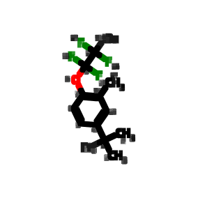 CCC(C)(C)c1ccc(OC(F)(F)C(F)(F)C(C)(C)C)c(C)c1